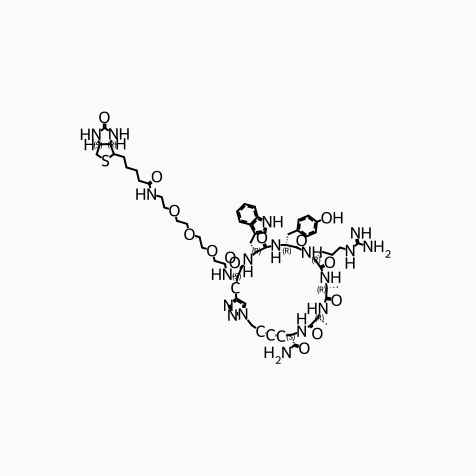 C[C@H]1NC(=O)[C@@H](C)NC(=O)[C@@H](CCCNC(=N)N)NC(=O)[C@@H](Cc2ccc(O)cc2)NC(=O)[C@@H](Cc2c[nH]c3ccccc23)NC(=O)[C@@H](NC(=O)COCCOCCOCCNC(=O)CCCCC2SC[C@H]3NC(=O)N[C@@H]23)Cc2cn(nn2)CCCC[C@@H](C(N)=O)NC1=O